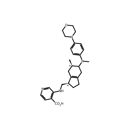 C[C@@H]1CC2=C(CC[C@H]2CNc2cnccc2C(=O)O)CC1N(C)c1ccc(N2CCOCC2)cc1